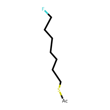 CC(=O)SCCCCCCCF